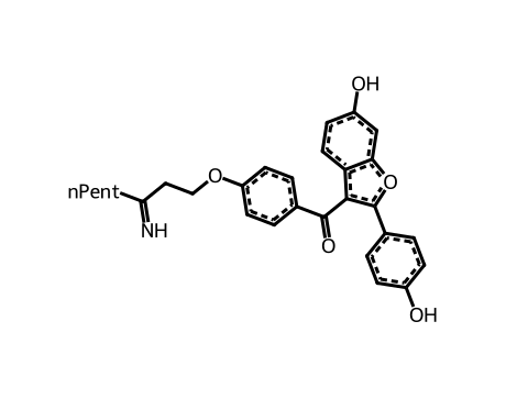 CCCCCC(=N)CCOc1ccc(C(=O)c2c(-c3ccc(O)cc3)oc3cc(O)ccc23)cc1